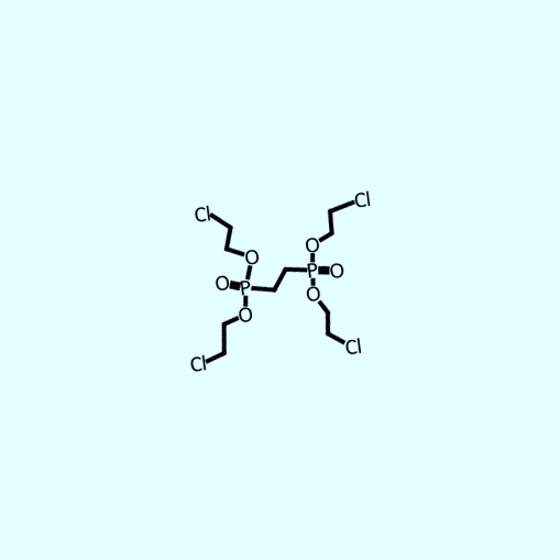 O=P(CCP(=O)(OCCCl)OCCCl)(OCCCl)OCCCl